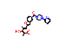 Cc1c(-c2cc3cc(C(=O)N4CCN(c5ccccn5)CC4)ccc3o2)oc(=O)c(C)c1O